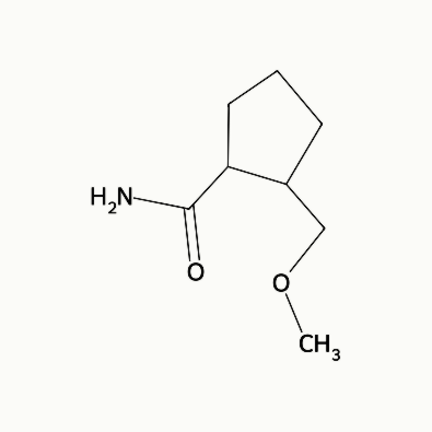 COCC1CCCC1C(N)=O